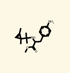 COC(=O)C(Cc1ccc(N)cc1)NC(C)(C)C1(C)C=C1C